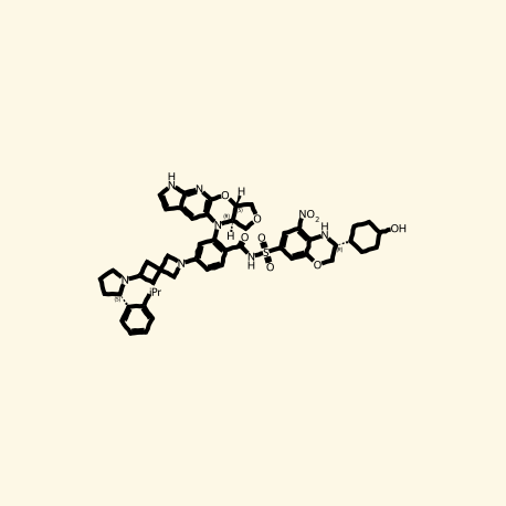 CC(C)c1ccccc1[C@@H]1CCCN1C1CC2(C1)CN(c1ccc(C(=O)NS(=O)(=O)c3cc4c(c([N+](=O)[O-])c3)N[C@H](C3CCC(O)CC3)CO4)c(N3c4cc5cc[nH]c5nc4O[C@@H]4COC[C@H]43)c1)C2